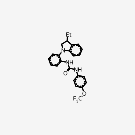 CCC1CN(c2ccccc2NC(=O)Nc2ccc(OC(F)(F)F)cc2)c2ccccc21